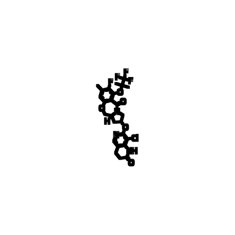 Cc1cc2c(c(OC(C)(C)C(F)(F)F)c1F)C(=O)N1C[C@@H](Oc3ncc4c(c3Cl)NC(=O)CC4)C[C@@H]1CO2